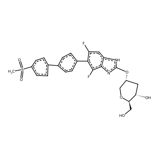 CS(=O)(=O)c1ccc(-c2ccc(-c3c(F)cc4[nH]c(O[C@H]5CO[C@H](CO)[C@@H](O)C5)nc4c3F)cc2)cc1